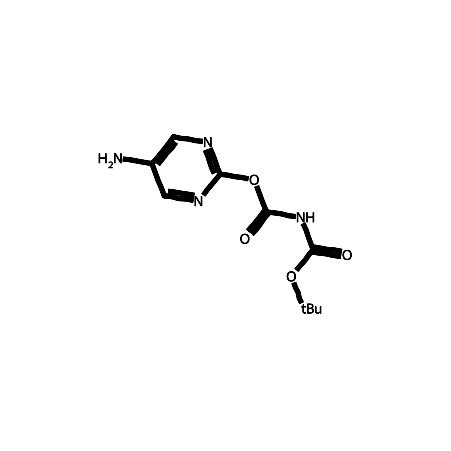 CC(C)(C)OC(=O)NC(=O)Oc1ncc(N)cn1